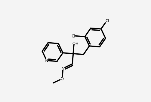 CON=CC(O)(Cc1ccc(Cl)cc1Cl)c1cccnc1